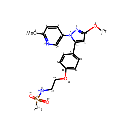 COc1ccc(-n2nc(OC(C)C)cc2-c2ccc(OCCNS(C)(=O)=O)cc2)cn1